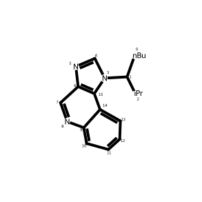 CCCCC(C(C)C)n1cnc2cnc3ccccc3c21